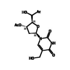 CC(=O)O[C@H]1C[C@H](n2cc(CO)c(=O)[nH]c2=O)O[C@@H]1C(O)C(C)=O